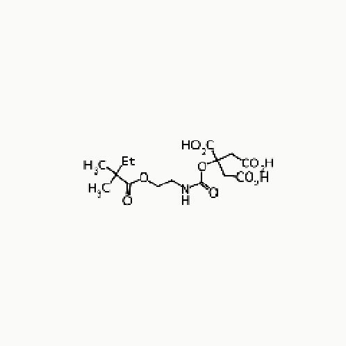 CCC(C)(C)C(=O)OCCNC(=O)OC(CC(=O)O)(CC(=O)O)C(=O)O